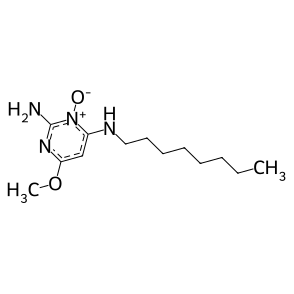 CCCCCCCCNc1cc(OC)nc(N)[n+]1[O-]